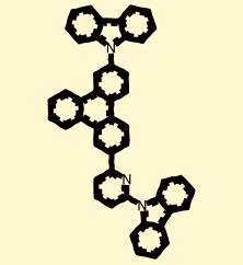 c1cc(-c2ccc3c4ccc(-n5c6ccccc6c6ccccc65)cc4c4ccccc4c3c2)nc(-n2c3ccccc3c3ccccc32)c1